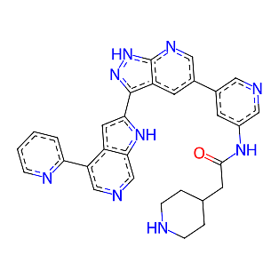 O=C(CC1CCNCC1)Nc1cncc(-c2cnc3[nH]nc(-c4cc5c(-c6ccccn6)cncc5[nH]4)c3c2)c1